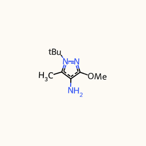 COc1nn(C(C)(C)C)c(C)c1N